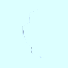 CCCCCCCCCCCC=C=CCCCCCCCCCCC